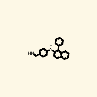 N=Cc1ccc(Nc2ccc3ccccc3c2-c2ccccc2)cc1